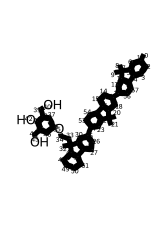 Cc1ccc2c(c1)C(C)(C)c1cc(-c3ccc4c(c3)C(C)(C)c3cc(-c5ccc6c(c5)C(C)(CCOc5cc(CO)c(O)c(CO)c5)c5ccccc5-6)ccc3-4)ccc1-2